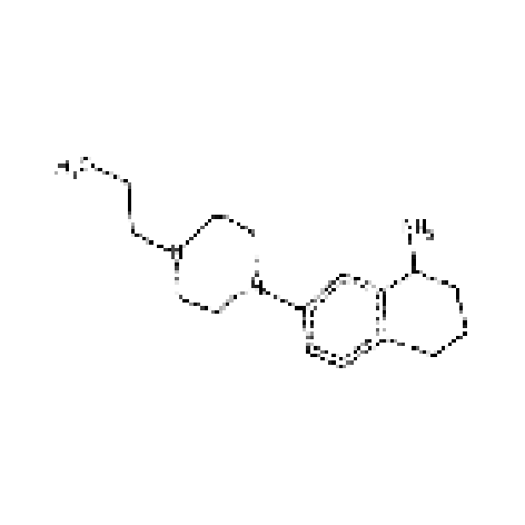 CCCN1CCN(c2ccc3c(c2)C(N)CCC3)CC1